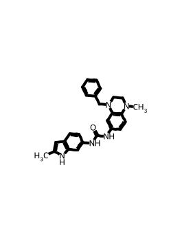 Cc1cc2ccc(NC(=O)Nc3ccc4c(c3)N(Cc3ccccc3)CCN4C)cc2[nH]1